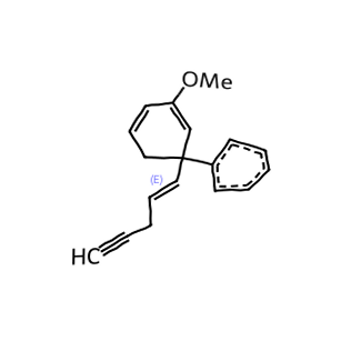 C#CC/C=C/C1(c2ccccc2)C=C(OC)C=CC1